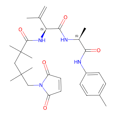 C=C(C)[C@H](NC(=O)C(C)(C)CC(C)(C)CN1C(=O)C=CC1=O)C(=O)N[C@@H](C)C(=O)Nc1ccc(C)cc1